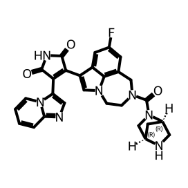 O=C1NC(=O)C(c2cnc3ccccn23)=C1c1cn2c3c(cc(F)cc13)CN(C(=O)N1C[C@H]3C[C@@H]1CN3)CC2